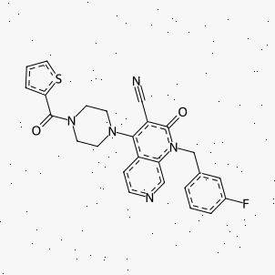 N#Cc1c(N2CCN(C(=O)c3cccs3)CC2)c2ccncc2n(Cc2cccc(F)c2)c1=O